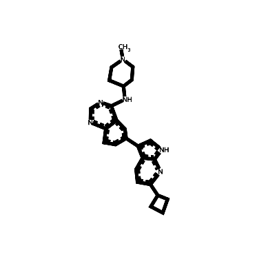 CN1CCC(Nc2ncnc3ccc(-c4c[nH]c5nc(C6CCC6)ccc45)cc23)CC1